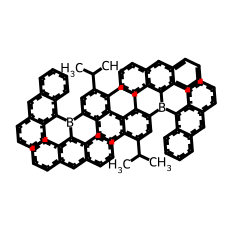 CC(C)c1cc(B(c2c3ccccc3cc3ccccc23)c2c3ccccc3cc3ccccc23)c2ccc3c(C(C)C)cc(B(c4c5c(cc6ccccc46)=CC=C=C=5)c4c5ccccc5cc5ccccc45)c4c3c2c1CC4